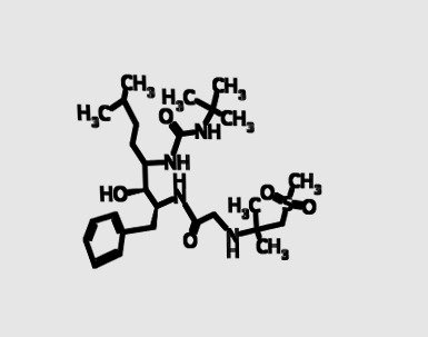 CC(C)CCC(NC(=O)NC(C)(C)C)[C@H](O)[C@H](Cc1ccccc1)NC(=O)CNC(C)(C)CS(C)(=O)=O